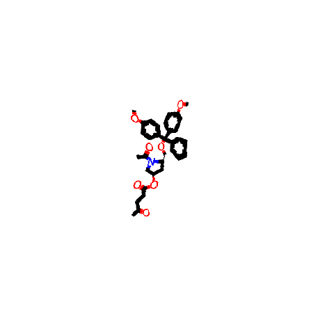 COc1ccc(C(OC[C@@H]2C[C@@H](OC(=O)CCC(C)=O)CN2C(C)=O)(c2ccccc2)c2ccc(OC)cc2)cc1